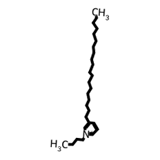 CCCCCCCCCCCCCCCCCCCc1ccc[n+](CCCC)c1